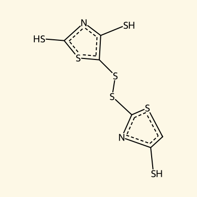 Sc1csc(SSc2sc(S)nc2S)n1